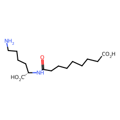 NCCCC[C@H](NC(=O)CCCCCCCC(=O)O)C(=O)O